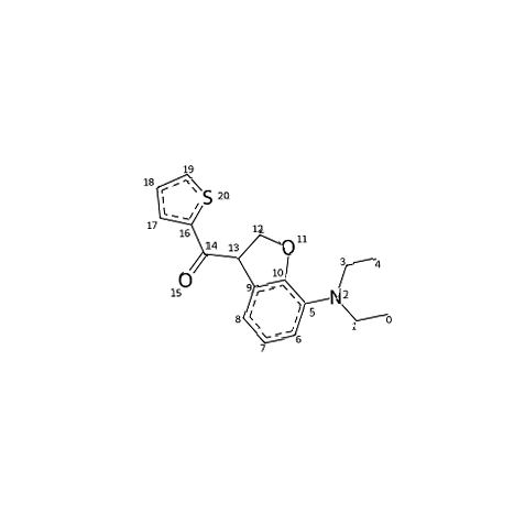 CCN(CC)c1cccc2c1OCC2C(=O)c1cccs1